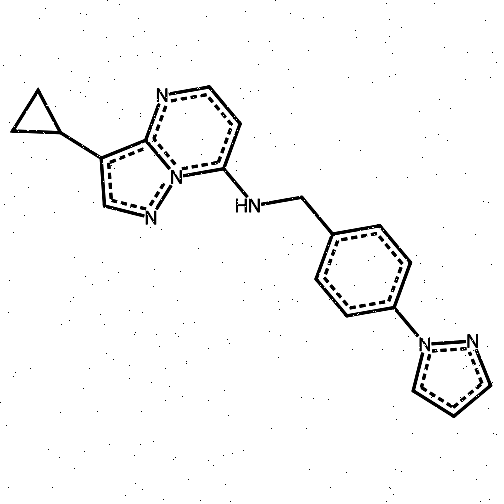 c1cnn(-c2ccc(CNc3ccnc4c(C5CC5)cnn34)cc2)c1